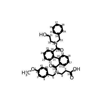 COc1ccc(CN(CCC(=O)O)C(=O)c2ccccc2-c2ccccc2C(=O)N(CCO)Cc2ccccc2)cc1